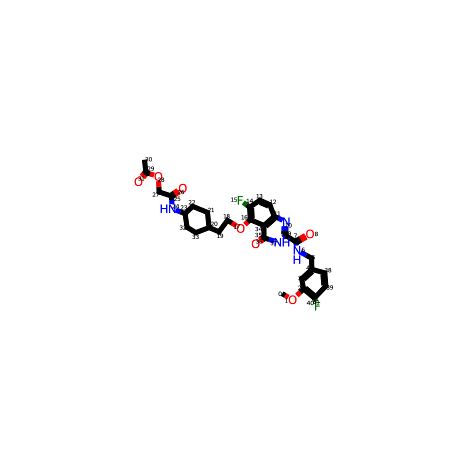 COc1cc(CNC(=O)c2nc3ccc(F)c(OCCC4CCC(NC(=O)COC(C)=O)CC4)c3c(=O)[nH]2)ccc1F